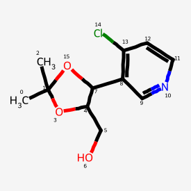 CC1(C)OC(CO)C(c2cnccc2Cl)O1